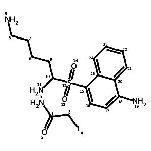 NC(=O)CI.NCCCCC(N)S(=O)(=O)c1ccc(N)c2ccccc12